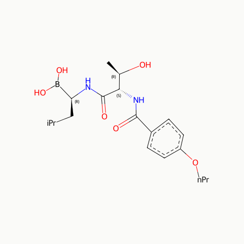 CCCOc1ccc(C(=O)N[C@H](C(=O)N[C@@H](CC(C)C)B(O)O)[C@@H](C)O)cc1